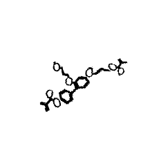 C=C(C)C(=O)OCCCOc1ccc(-c2ccc(OC(=O)C(=C)C)cc2)c(OCCCOC)c1